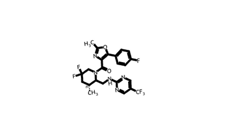 Cc1nc(C(=O)N2CC(F)(F)C[C@@H](C)C2CNc2ncc(C(F)(F)F)cn2)c(-c2ccc(F)cc2)o1